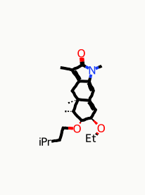 CCO[C@@H]1C=C2C=C3C(=C(C)C(=O)N3C)C[C@]2(C)[C@@H](C)[C@H]1OCCC(C)C